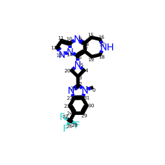 Cn1c(C2CN(c3c4c(nc5ccnn35)CCNCC4)C2)nc2cc(C(F)(F)F)ccc21